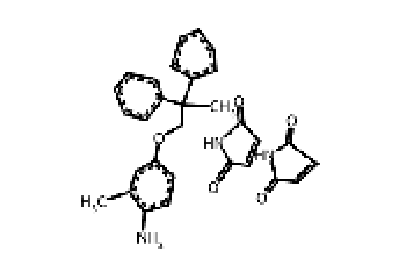 Cc1cc(OCC(C)(c2ccccc2)c2ccccc2)ccc1N.O=C1C=CC(=O)N1.O=C1C=CC(=O)N1